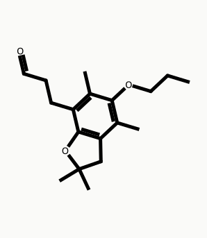 CCCOc1c(C)c(CCC=O)c2c(c1C)CC(C)(C)O2